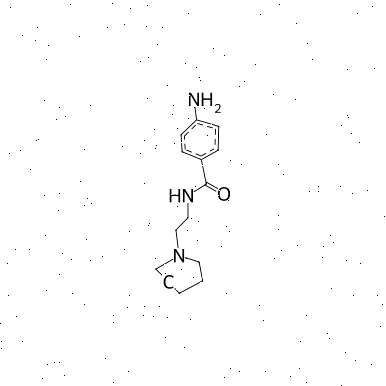 Nc1ccc(C(=O)NCCN2CCCCC2)cc1